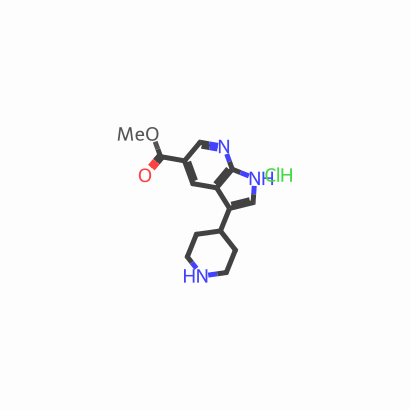 COC(=O)c1cnc2[nH]cc(C3CCNCC3)c2c1.Cl